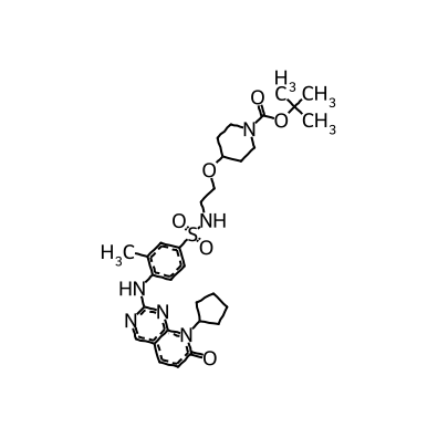 Cc1cc(S(=O)(=O)NCCOC2CCN(C(=O)OC(C)(C)C)CC2)ccc1Nc1ncc2ccc(=O)n(C3CCCC3)c2n1